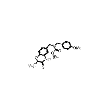 COc1ccc(CN(Cc2ccc3c(c2)NC(=S)C(C)O3)C(=O)OC(C)(C)C)cc1